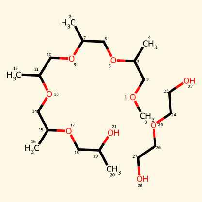 COCC(C)OCC(C)OCC(C)OCC(C)OCC(C)O.OCCOCCO